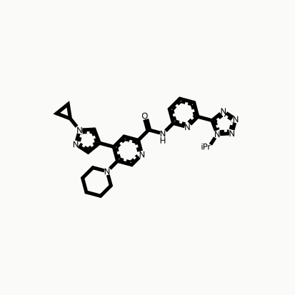 CC(C)n1nnnc1-c1cccc(NC(=O)c2cc(-c3cnn(C4CC4)c3)c(N3CCCCC3)cn2)n1